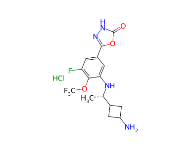 C[C@H](Nc1cc(-c2n[nH]c(=O)o2)cc(F)c1OC(F)(F)F)C1CC(N)C1.Cl